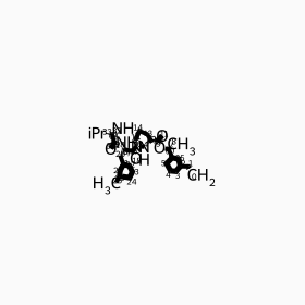 C=Cc1cccc([C@@H](C)OC(=O)[C@@H]2CCCN(C(=O)[C@H](Cc3cccc(C)c3)NC(=O)[C@@H](N)C(C)C)N2)c1